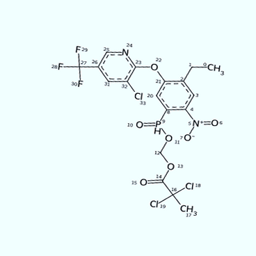 CCc1cc([N+](=O)[O-])c([PH](=O)OCOC(=O)C(C)(Cl)Cl)cc1Oc1ncc(C(F)(F)F)cc1Cl